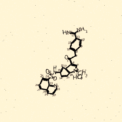 Cl.Cn1cc(C(=O)Cc2ccc(C(=N)N)cc2)c2cc(NS(=O)(=O)c3cccc4cccnc34)ccc21